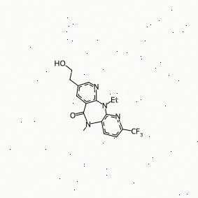 CCN1c2ncc(CCO)cc2C(=O)N(C)c2ccc(C(F)(F)F)nc21